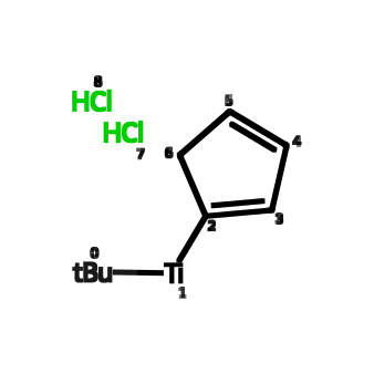 C[C](C)(C)[Ti][C]1=CC=CC1.Cl.Cl